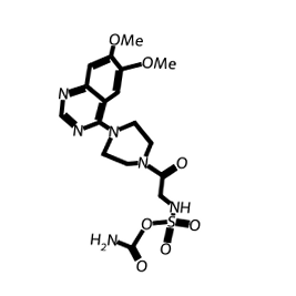 COc1cc2ncnc(N3CCN(C(=O)CNS(=O)(=O)OC(N)=O)CC3)c2cc1OC